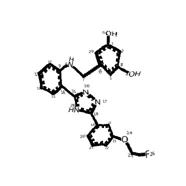 Oc1cc(O)cc(CNc2ccccc2-c2nnc(-c3cccc(OCF)c3)[nH]2)c1